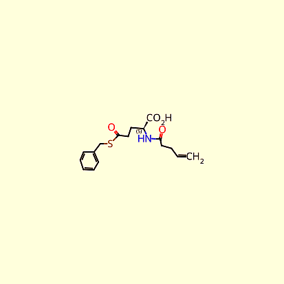 C=CCCC(=O)N[C@@H](CCC(=O)SCc1ccccc1)C(=O)O